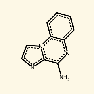 Nc1nc2ccccc2n2c[c]nc12